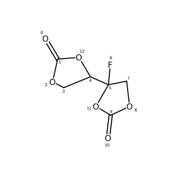 O=C1OCC(C2(F)COC(=O)O2)O1